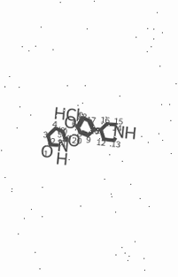 Cl.O=C1CC[C@H](Oc2ccc(C3CCNCC3)cc2)C(=O)N1